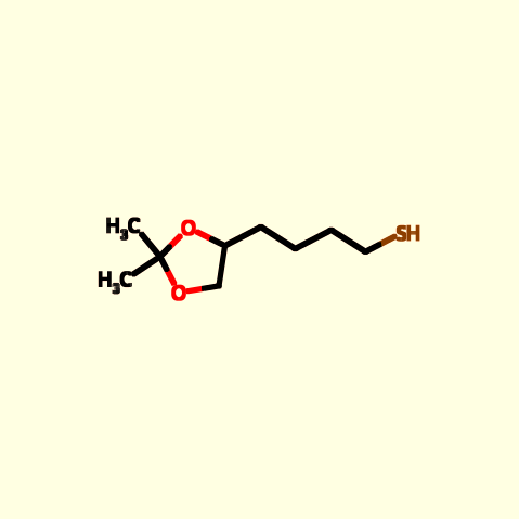 CC1(C)OCC(CCCCS)O1